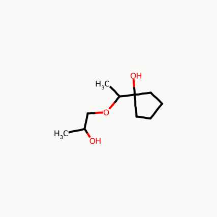 CC(O)COC(C)C1(O)CCCC1